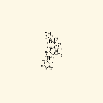 CCCN1CCC(N2CCN(c3cccc(F)c3)CC2)c2c(ccn2C)C1=O